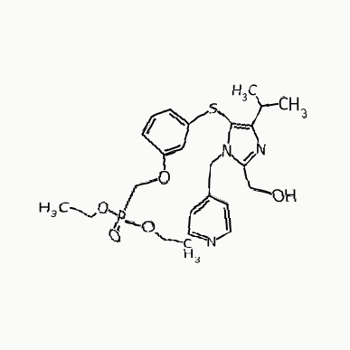 CCOP(=O)(COc1cccc(Sc2c(C(C)C)nc(CO)n2Cc2ccncc2)c1)OCC